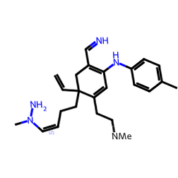 C=CC1(CC/C=C\N(C)N)CC(C=N)=C(Nc2ccc(C)cc2)C=C1CCNC